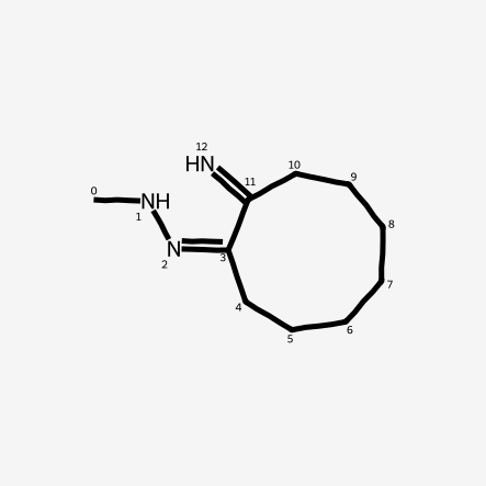 CN/N=C1/CCCCCCCC1=N